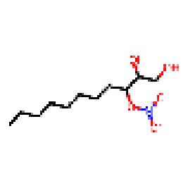 CCCCCCCCC(O[N+](=O)[O-])C(O)CO